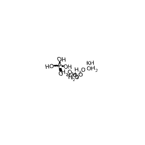 O.O.O.O.O.O.O=P(O)(O)O.[KH]